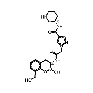 O=C(Cn1cc(C(=O)N[C@H]2CCCNC2)nn1)N[C@H]1Cc2cccc(CO)c2OB1O